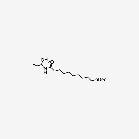 CCCCCCCCCCCCCCCCCCCC(=O)NC(N)CC